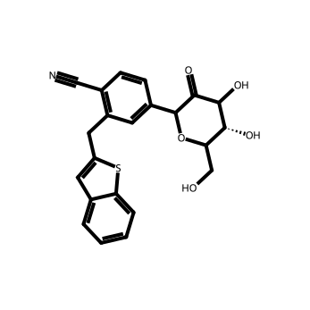 N#Cc1ccc(C2OC(CO)[C@@H](O)C(O)C2=O)cc1Cc1cc2ccccc2s1